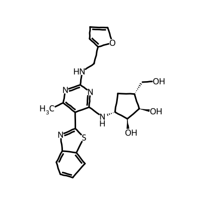 Cc1nc(NCc2ccco2)nc(N[C@@H]2C[C@H](CO)[C@@H](O)[C@H]2O)c1-c1nc2ccccc2s1